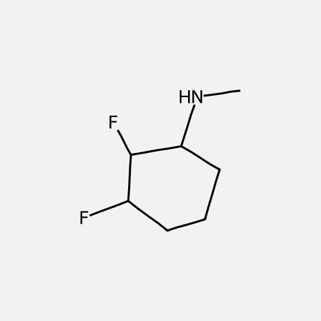 CNC1CCCC(F)C1F